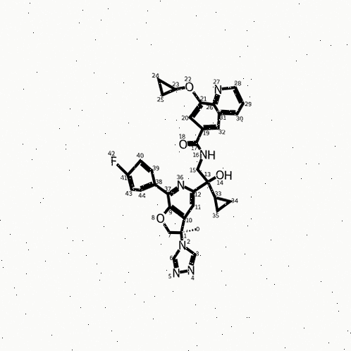 C[C@]1(n2cnnc2)COc2c1cc(C(O)(CNC(=O)c1cc(OC3CC3)c3ncccc3c1)C1CC1)nc2-c1ccc(F)cc1